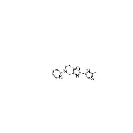 Cc1nc(-c2nc3c(o2)CCN(c2ccccn2)C3)cs1